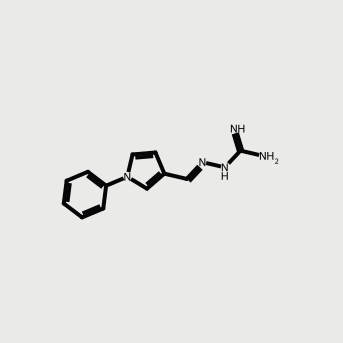 N=C(N)N/N=C/c1ccn(-c2ccccc2)c1